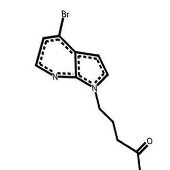 O=C(O)CCCn1ccc2c(Br)ccnc21